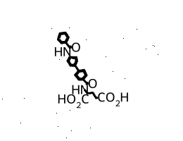 O=C(O)CC[C@H](NC(=O)c1ccc(-c2ccc(NC(=O)c3ccccc3)cc2)cc1)C(=O)O